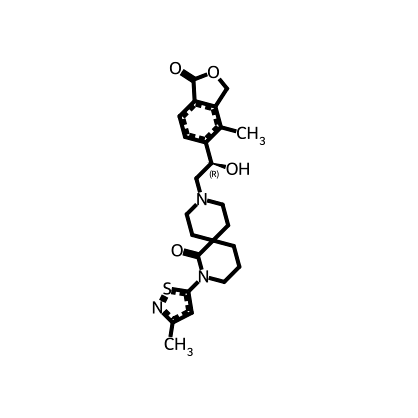 Cc1cc(N2CCCC3(CCN(C[C@H](O)c4ccc5c(c4C)COC5=O)CC3)C2=O)sn1